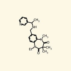 CCN1C(=O)C(C)(C)C(=O)N(C)c2cc(CNC(C)c3cccnc3)ccc21